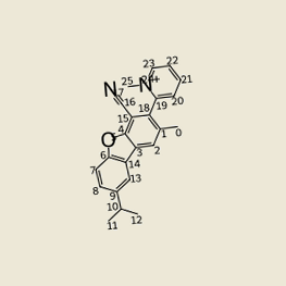 Cc1cc2c(oc3ccc(C(C)C)cc32)c(C#N)c1-c1cccc[n+]1C